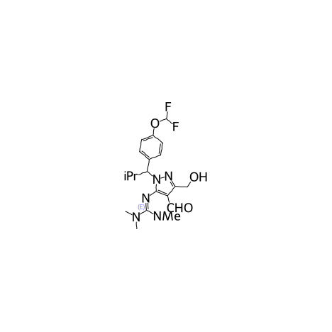 CN/C(=N\c1c(C=O)c(CO)nn1C(c1ccc(OC(F)F)cc1)C(C)C)N(C)C